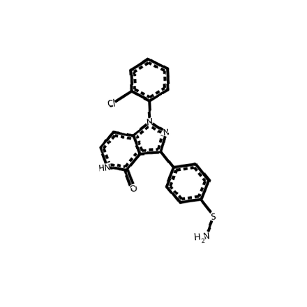 NSc1ccc(-c2nn(-c3ccccc3Cl)c3cc[nH]c(=O)c23)cc1